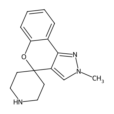 Cn1cc2c(n1)-c1ccccc1OC21CCNCC1